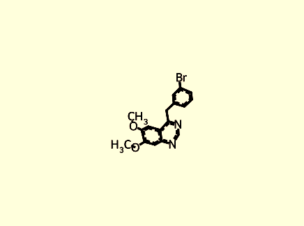 COc1cc2ncnc(Cc3cccc(Br)c3)c2cc1OC